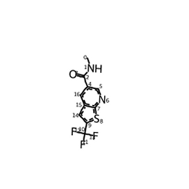 CNC(=O)c1cnc2sc(C(F)(F)F)cc2c1